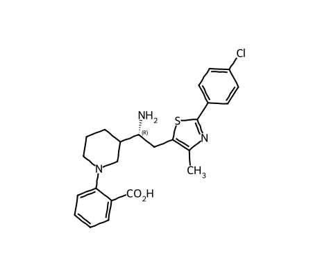 Cc1nc(-c2ccc(Cl)cc2)sc1C[C@@H](N)C1CCCN(c2ccccc2C(=O)O)C1